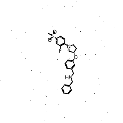 CS(=O)(=O)c1ccc(N2CC[C@H](Oc3cccc(CNCc4ccccc4)c3)C2)c(F)c1